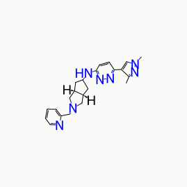 Cc1nn(C)cc1-c1ccc(NC2C[C@@H]3CN(Cc4ccccn4)C[C@@H]3C2)nn1